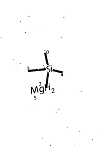 [CH2][Si](C)(C)C.[MgH2]